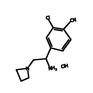 Cl.N#Cc1ccc(C(N)CN2CCC2)cc1Cl